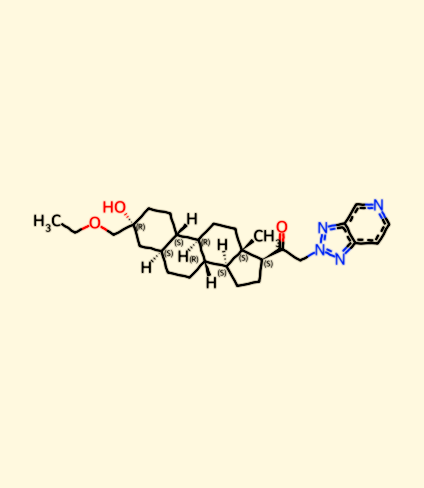 CCOC[C@@]1(O)CC[C@H]2[C@@H](CC[C@@H]3[C@@H]2CC[C@]2(C)[C@@H](C(=O)Cn4nc5ccncc5n4)CC[C@@H]32)C1